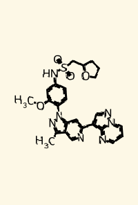 COc1cc(NS(=O)(=O)CC2CCCO2)ccc1-n1nc(C)c2cnc(-c3cnn4cccnc34)cc21